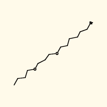 CCCCOCCCOCCCCCCBr